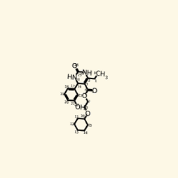 CCC1=C(C(=O)OCCOC2CCCCC2)C(c2cccc(O)c2)NC(=O)N1